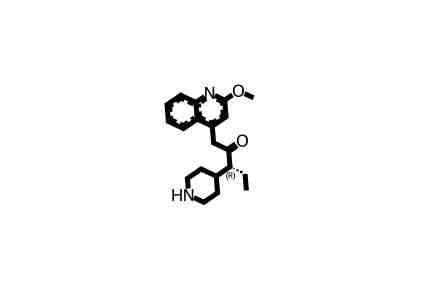 CC[C@@H](C(=O)Cc1cc(OC)nc2ccccc12)C1CCNCC1